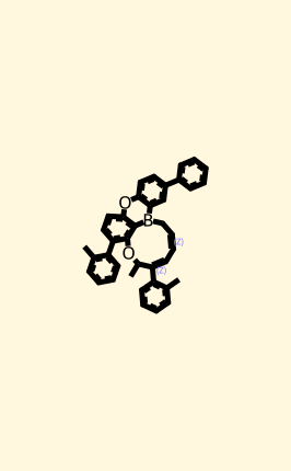 Cc1ccccc1/C1=C/C=C\CB2c3cc(-c4ccccc4)ccc3Oc3ccc(-c4ccccc4C)c(c32)OC1C